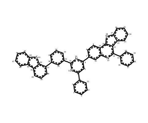 c1ccc(-c2cc(-c3ccc4c(c3)nc(-c3ccccc3)c3c5ccccc5sc43)nc(-c3cccc(-c4cccc5c4sc4ccccc45)c3)n2)cc1